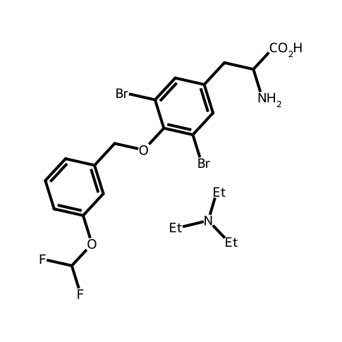 CCN(CC)CC.NC(Cc1cc(Br)c(OCc2cccc(OC(F)F)c2)c(Br)c1)C(=O)O